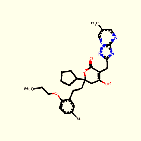 CCc1ccc(OCCOC)c(CCC2(C3CCCC3)CC(O)=C(Cc3nc4ncc(C)cn4n3)C(=O)O2)c1